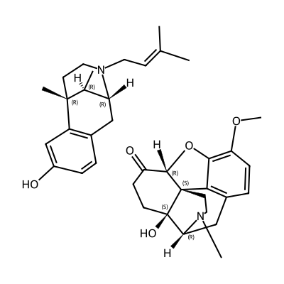 CC(C)=CCN1CC[C@@]2(C)c3cc(O)ccc3C[C@@H]1[C@@H]2C.COc1ccc2c3c1O[C@H]1C(=O)CC[C@@]4(O)[C@@H](C2)N(C)CC[C@]314